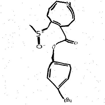 C[S+]([O-])c1ccncc1C(=O)Oc1ccc(C(C)(C)C)cc1